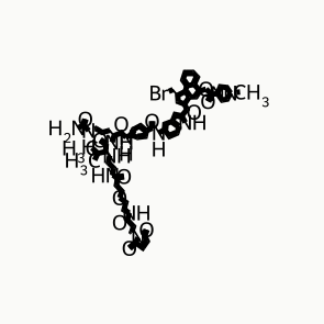 CC(C)[C@H](NCCNC(=O)CCOCCNC(=O)CCN1C(=O)C=CC1=O)C(=O)N[C@@H](CCCNC(N)=O)C(=O)Nc1ccc(C(=O)Nc2ccc3[nH]c(C(=O)C4C[C@@H](CBr)c5c4cc(OC(=O)N4CCN(C)CC4)c4ccccc54)cc3c2)cc1